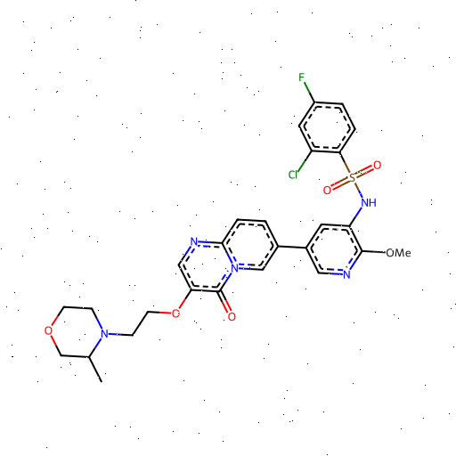 COc1ncc(-c2ccc3ncc(OCCN4CCOCC4C)c(=O)n3c2)cc1NS(=O)(=O)c1ccc(F)cc1Cl